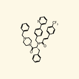 O=C([C@H](Cc1ccccc1)N(Cc1ccc(-c2ccccn2)cc1)C(=O)C=Cc1ccc(C(F)(F)F)cc1)N1CCN(Cc2ccccc2)CC1